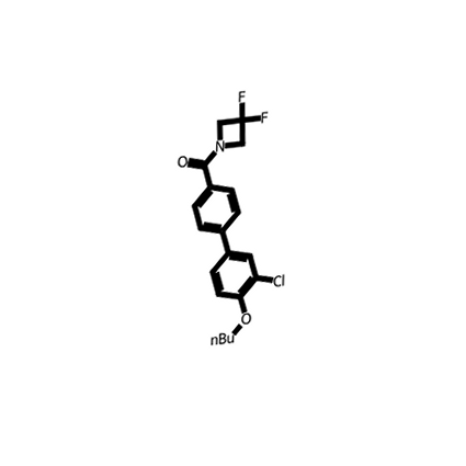 CCCCOc1ccc(-c2ccc(C(=O)N3CC(F)(F)C3)cc2)cc1Cl